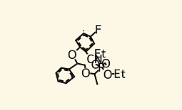 CCOP(=O)(OCC)C(C)OCC(Oc1c[c]c(F)cc1C#N)c1ccccc1